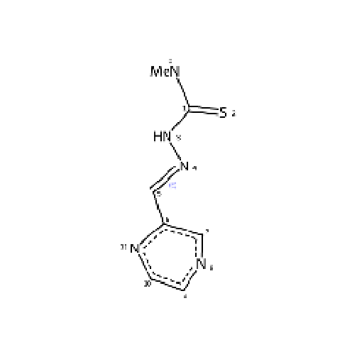 CNC(=S)N/N=C/c1cnccn1